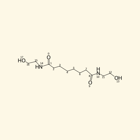 O=C(CCCCCCC(=O)NCCO)NCCO